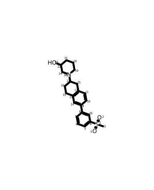 CS(=O)(=O)c1cccc(-c2ccc3c(c2)CCC(N2CCCC(O)C2)C3)c1